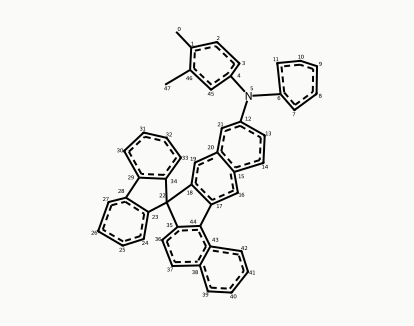 Cc1ccc(N(c2ccccc2)c2ccc3cc4c(cc3c2)C2(c3ccccc3-c3ccccc32)c2ccc3ccccc3c2-4)cc1C